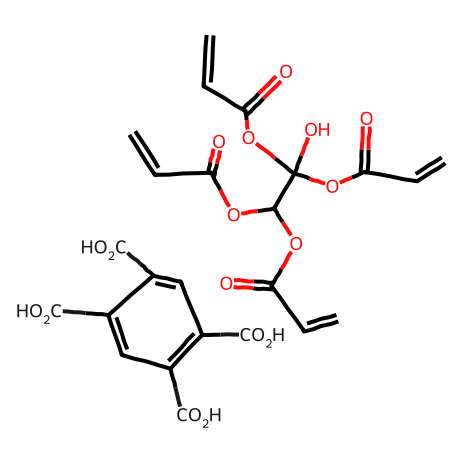 C=CC(=O)OC(OC(=O)C=C)C(O)(OC(=O)C=C)OC(=O)C=C.O=C(O)c1cc(C(=O)O)c(C(=O)O)cc1C(=O)O